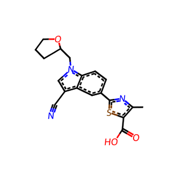 Cc1nc(-c2ccc3c(c2)c(C#N)cn3CC2CCCO2)sc1C(=O)O